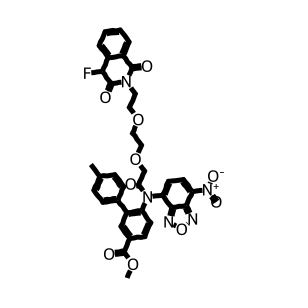 COC(=O)c1ccc(N(C(=O)COCCOCCN2C(=O)c3ccccc3C(F)C2=O)c2ccc([N+](=O)[O-])c3nonc23)c(-c2ccc(C)cc2)c1